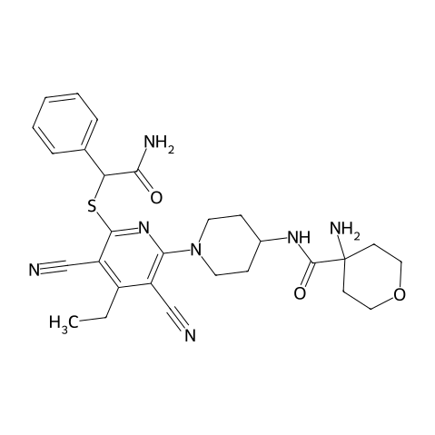 CCc1c(C#N)c(SC(C(N)=O)c2ccccc2)nc(N2CCC(NC(=O)C3(N)CCOCC3)CC2)c1C#N